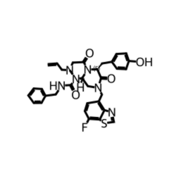 C=CCN1CC(=O)N2[C@@H](Cc3ccc(O)cc3)C(=O)N(Cc3ccc(F)c4scnc34)C[C@@H]2N1C(=O)NCc1ccccc1